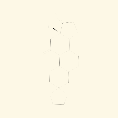 CC[C@]12CC(=O)C3C4CCC5(C=C4CCC3C1CCC2=O)SCCS5